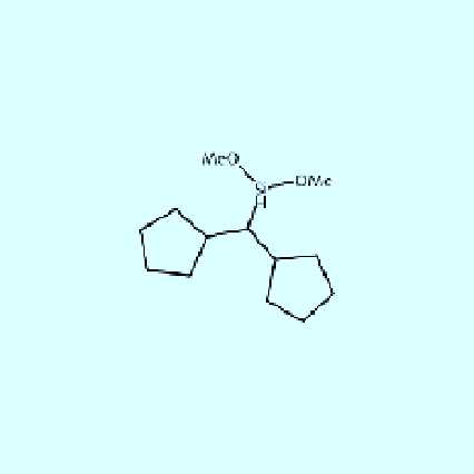 CO[SiH](OC)C(C1CCCC1)C1CCCC1